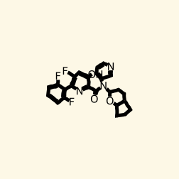 O=C(c1nc(-c2c(F)cccc2F)c(F)cc1O)N(c1cccnc1)C1CCC2CCCC2O1